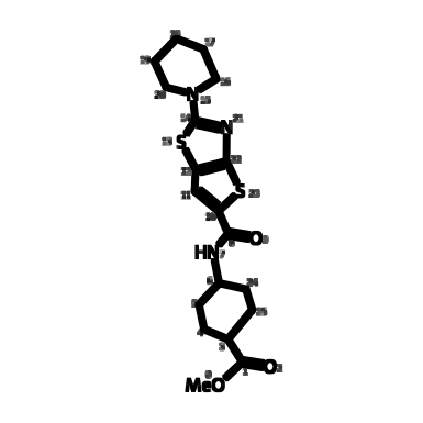 COC(=O)C1CCC(NC(=O)c2cc3sc(N4CCCCC4)nc3s2)CC1